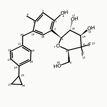 Cc1cc(O)c([C@@H]2O[C@H](CO)C(F)(F)[C@H](O)[C@H]2O)cc1Cc1ccc(C2CC2)cc1